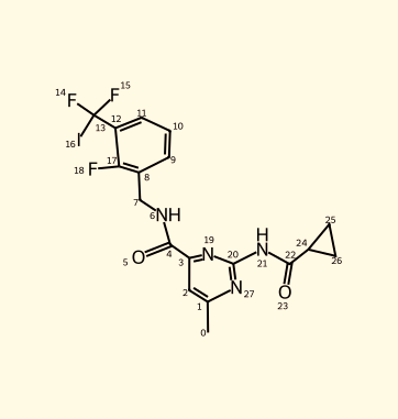 Cc1cc(C(=O)NCc2cccc(C(F)(F)I)c2F)nc(NC(=O)C2CC2)n1